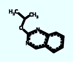 CC(C)Oc1ncc2ccccc2n1